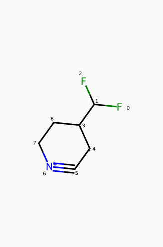 FC(F)C1[CH]C#[N+]CC1